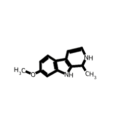 COc1ccc2c3c([nH]c2c1)C(C)NC=C3